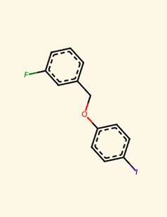 Fc1cccc(COc2ccc(I)cc2)c1